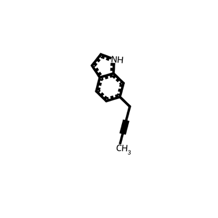 CC#CCc1ccc2cc[nH]c2c1